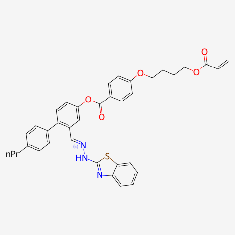 C=CC(=O)OCCCCOc1ccc(C(=O)Oc2ccc(-c3ccc(CCC)cc3)c(/C=N/Nc3nc4ccccc4s3)c2)cc1